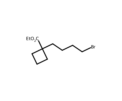 CCOC(=O)C1(CCCCBr)CCC1